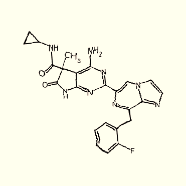 CC1(C(=O)NC2CC2)C(=O)Nc2nc(-c3cn4ccnc4c(Cc4ccccc4F)n3)nc(N)c21